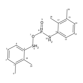 Cc1cccc([SiH2]O[PH](=O)[SiH2]c2cccc(C)c2C)c1C